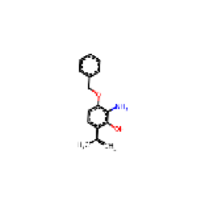 C=C(C)c1ccc(OCc2ccccc2)c(N)c1O